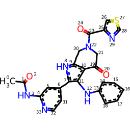 CC(=O)Nc1cc(-c2[nH]c3c(c2Nc2ccccc2)C(=O)CN(C(=O)c2cscn2)C3)ccn1